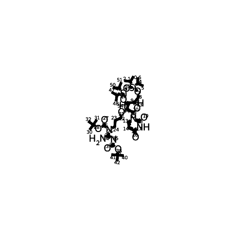 CC(C)[Si]1(C(C)C)OC[C@H]2O[C@@H](n3ccc(=O)[nH]c3=O)[C@H](OCCCN(C(=O)OC(C)(C)C)C(N)=NC(=O)OC(C)(C)C)[C@@H]2O[Si](C(C)C)(C(C)C)O1